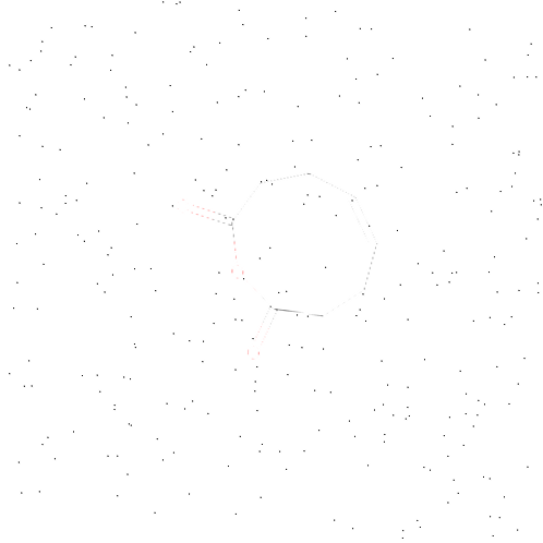 O=C1CC/C=C\CCC(=O)O1